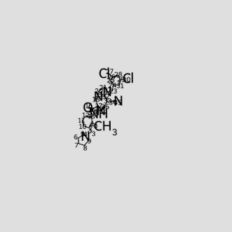 Cc1c(CN2CCCCC2)cccc1NC(=O)CCN1CCN(Cc2cc(Cl)cc(Cl)c2)C1=C(C#N)C#N